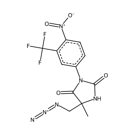 CC1(CN=[N+]=[N-])NC(=O)N(c2ccc([N+](=O)[O-])c(C(F)(F)F)c2)C1=O